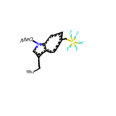 COn1cc(CC(C)(C)C)c2cc(S(F)(F)(F)(F)F)ccc21